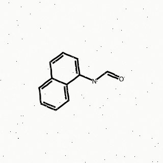 O=C[N]c1cccc2ccccc12